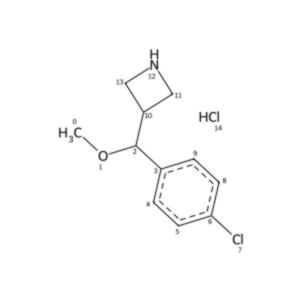 COC(c1ccc(Cl)cc1)C1CNC1.Cl